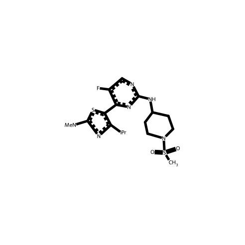 CNc1nc(C(C)C)c(-c2nc(NC3CCN(S(C)(=O)=O)CC3)ncc2F)s1